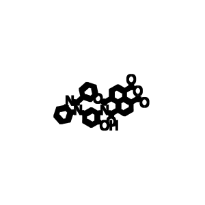 O=C1OC(=O)c2ccc3c4c(ccc1c24)C(=O)N(c1cc(-n2c(-c4ccccc4)nc4ccccc42)ccc1O)C3=O